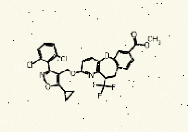 COC(=O)c1ccc2c(c1)Oc1ccc(OCc3c(-c4c(Cl)cccc4Cl)noc3C3CC3)nc1C(C(F)(F)F)C2